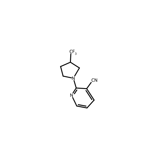 N#Cc1cccnc1N1CCC(C(F)(F)F)C1